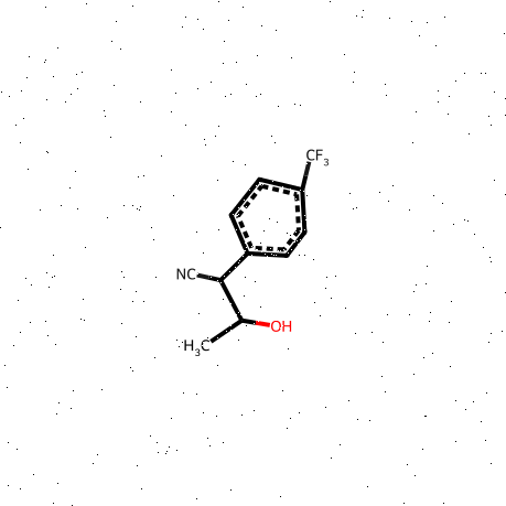 CC(O)C(C#N)c1ccc(C(F)(F)F)cc1